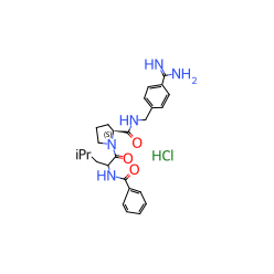 CC(C)CC(NC(=O)c1ccccc1)C(=O)N1CCC[C@H]1C(=O)NCc1ccc(C(=N)N)cc1.Cl